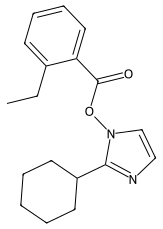 CCc1ccccc1C(=O)On1ccnc1C1CCCCC1